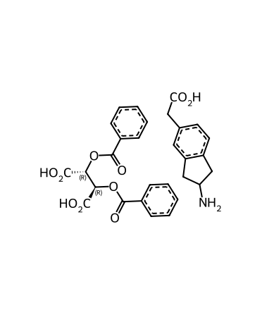 NC1Cc2ccc(CC(=O)O)cc2C1.O=C(O[C@@H](C(=O)O)[C@@H](OC(=O)c1ccccc1)C(=O)O)c1ccccc1